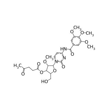 COc1cc(C(=O)Nc2ccn(C3OC(CO)C(OC(=O)CCC(C)=O)C3OC)c(=O)n2)cc(OC)c1OC